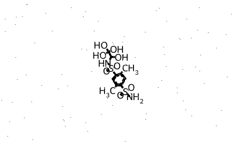 Cc1cc(S(=O)(=O)NC(O)C(O)(O)O)c(C)cc1S(N)(=O)=O